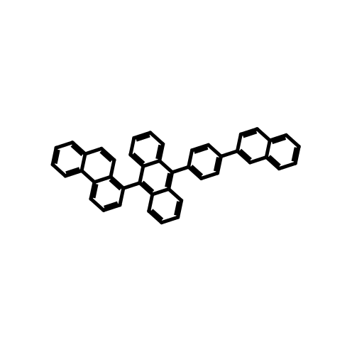 c1ccc2cc(-c3ccc(-c4c5ccccc5c(-c5cccc6c5ccc5ccccc56)c5ccccc45)cc3)ccc2c1